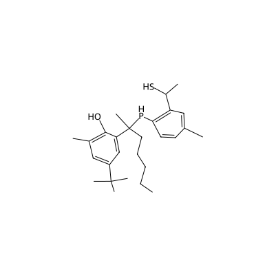 CCCCCC(C)(Pc1ccc(C)cc1C(C)S)c1cc(C(C)(C)C)cc(C)c1O